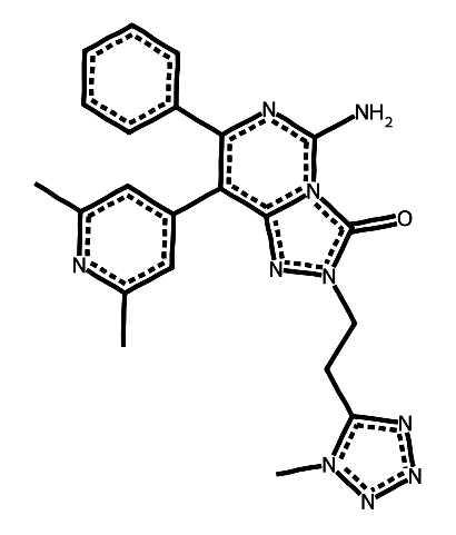 Cc1cc(-c2c(-c3ccccc3)nc(N)n3c(=O)n(CCc4nnnn4C)nc23)cc(C)n1